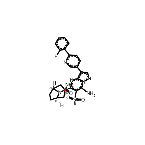 CS(=O)(=O)c1c([C@H]2C[C@H]3CC[C@@H](C2)N3C(N)=O)nc2c(-c3ccc(-c4ccccc4F)nc3)cnn2c1N